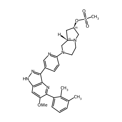 COc1cc2[nH]nc(-c3ccc(N4CCN5C[C@H](OS(C)(=O)=O)C[C@H]5C4)nc3)c2nc1-c1cccc(C)c1C